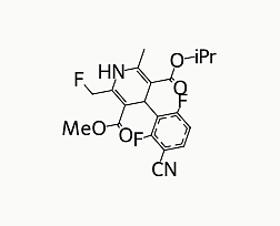 COC(=O)C1=C(CF)NC(C)=C(C(=O)OC(C)C)C1c1c(F)ccc(C#N)c1F